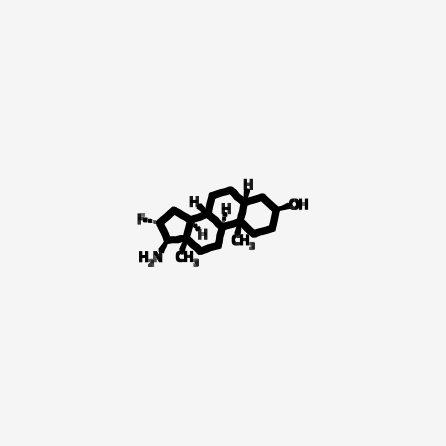 C[C@]12CC[C@H](O)C[C@H]1CC[C@@H]1[C@@H]2CC[C@]2(C)[C@@H](N)[C@H](F)C[C@@H]12